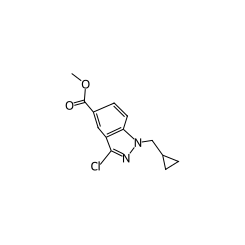 COC(=O)c1ccc2c(c1)c(Cl)nn2CC1CC1